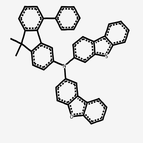 CC1(C)c2ccc(N(c3ccc4c(c3)sc3ccccc34)c3ccc4oc5ccccc5c4c3)cc2-c2c(-c3ccccc3)cccc21